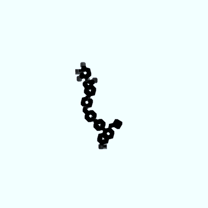 O=C1CC[C@H](N2Cc3cc(N4CCN(CC5CCN(c6ccc([C@@H]7c8ccc(O)cc8CC[C@@H]7CC7CCC7)cc6)CC5)CC4)ccc3C2=O)C(=O)N1